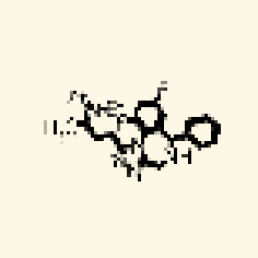 CCN(CC)C(C)CCc1nnc2n1-c1c(F)cc(F)cc1C(c1ccccc1)NC2